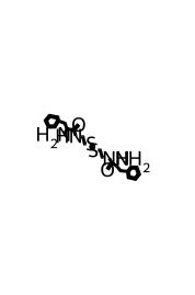 NC(Cc1ccccc1)C(=O)NCCSSCCNC(=O)C(N)Cc1ccccc1